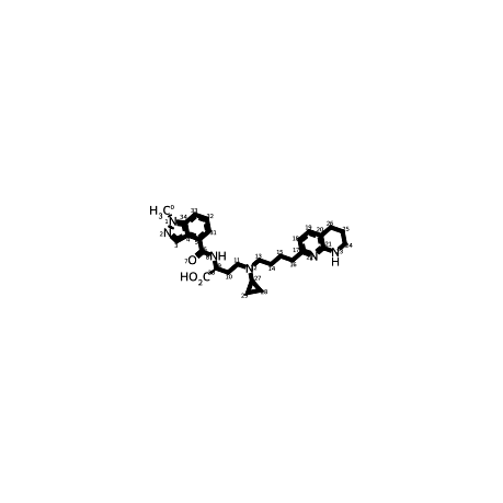 Cn1ncc2c(C(=O)N[C@@H](CCN(CCCCc3ccc4c(n3)NCCC4)C3CC3)C(=O)O)cccc21